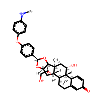 CC(C)Nc1ccc(Oc2ccc([C@@H]3O[C@@H]4C[C@H]5[C@@H]6CCC7=CC(=O)C=C[C@]7(C)[C@H]6[C@@H](O)C[C@]5(C)[C@]4(C(=O)CO)O3)cc2)cc1